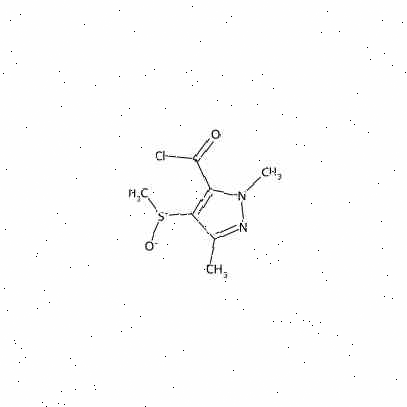 Cc1nn(C)c(C(=O)Cl)c1[S+](C)[O-]